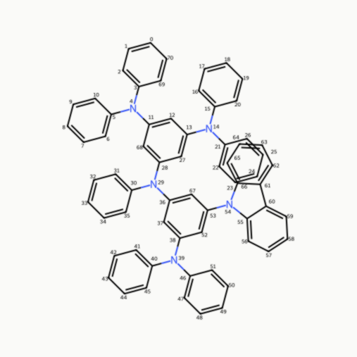 c1ccc(N(c2ccccc2)c2cc(N(c3ccccc3)c3ccccc3)cc(N(c3ccccc3)c3cc(N(c4ccccc4)c4ccccc4)cc(-n4c5ccccc5c5ccccc54)c3)c2)cc1